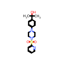 CC(C)(O)c1ccc(N2CCN(S(=O)(=O)c3ccccn3)CC2)cc1